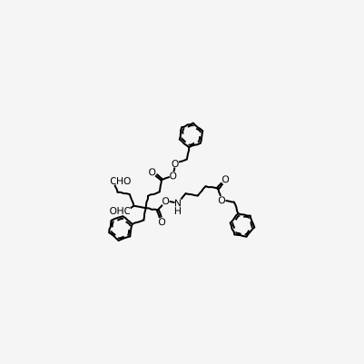 O=CCCC(C=O)C(CCC(=O)OOCc1ccccc1)(Cc1ccccc1)C(=O)ONCCCC(=O)OCc1ccccc1